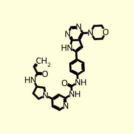 C=CC(=O)NC1CCN(c2ccnc(NC(=O)Nc3ccc(-c4cc5c(N6CCOCC6)ncnc5[nH]4)cc3)c2)C1